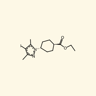 CCOC(=O)[C@H]1CC[C@H](n2nc(C)c(I)c2C)CC1